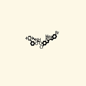 CN1CCN(CCNC(=O)COc2cc3[nH]c(-c4cc5ccc(Br)cc5[nH]4)cc3cc2Cl)C(c2ccccc2)C1